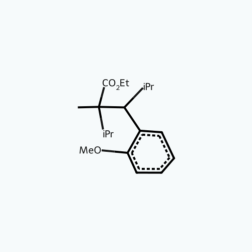 CCOC(=O)C(C)(C(C)C)C(c1ccccc1OC)C(C)C